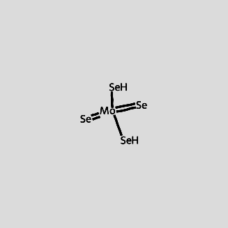 [Se]=[Mo](=[Se])([SeH])[SeH]